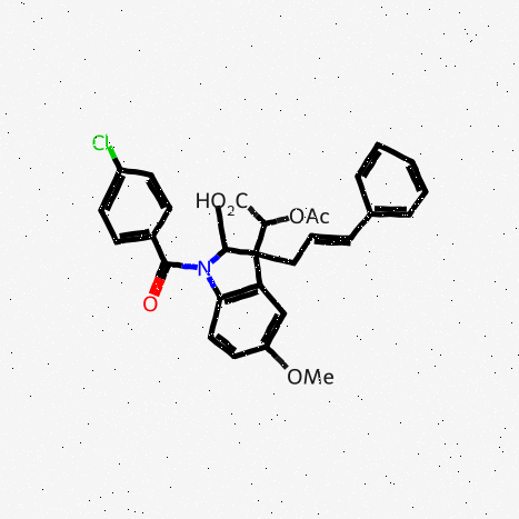 COc1ccc2c(c1)C(CC=Cc1ccccc1)(C(OC(C)=O)C(=O)O)C(C)N2C(=O)c1ccc(Cl)cc1